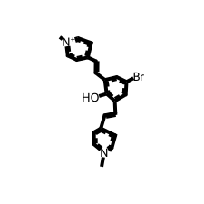 C[n+]1ccc(/C=C/c2cc(Br)cc(/C=C/c3cc[n+](C)cc3)c2O)cc1